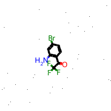 Nc1cc(Br)ccc1C(=O)C(F)(F)F